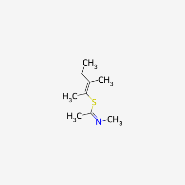 CC/C(C)=C(\C)S/C(C)=N\C